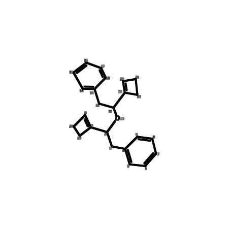 C1=C(C(Cc2ccccc2)OC(Cc2ccccc2)C2=CCC2)CC1